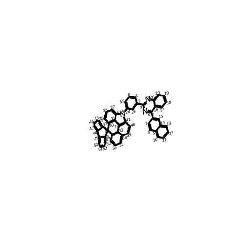 c1cc(-c2nc(-c3ccc4ccccc4c3)c3ccccc3n2)cc(-n2c3cccc4c3c3c5c(cccc5ccc32)C42c3ccccc3-c3ccccc32)c1